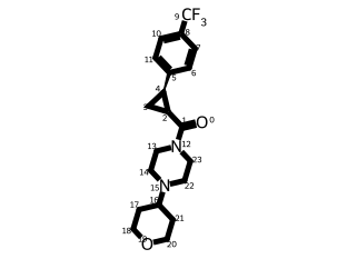 O=C(C1C[C@H]1c1ccc(C(F)(F)F)cc1)N1CCN(C2CCOCC2)CC1